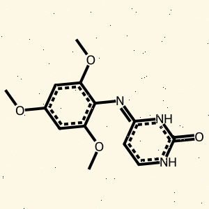 COc1cc(OC)c(N=c2cc[nH]c(=O)[nH]2)c(OC)c1